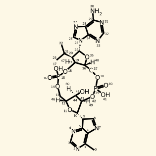 Cc1ncnc2c1N=CC2[C@@H]1O[C@@H]2COP(=O)(O)O[C@H]3[C@@H](C(C)C)[C@H](n4cnc5c(N)ncnc54)O[C@@H]3COP(=O)(O)O[C@@H]1[C@@H]2O